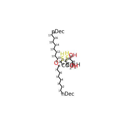 CCCCCCCCCCCCCCCCCCOCCCCCCCCCCCCCCCCCC.O=C(O)CS.O=C(O)CS.OCCO